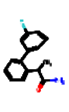 CC(C(N)=O)c1ccccc1-c1cccc(F)c1